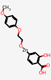 COc1ccc(OCC[O][Zn][c]2ccc(C(=O)O)c(O)c2)cc1